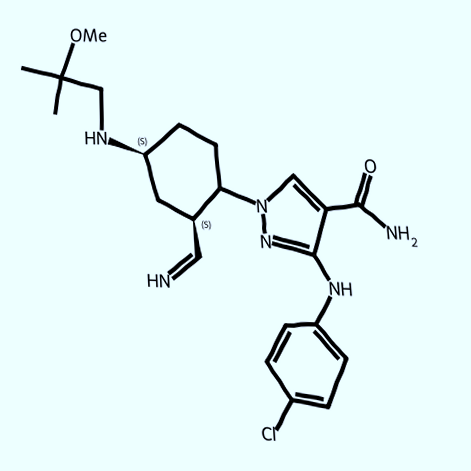 COC(C)(C)CN[C@H]1CCC(n2cc(C(N)=O)c(Nc3ccc(Cl)cc3)n2)[C@@H](C=N)C1